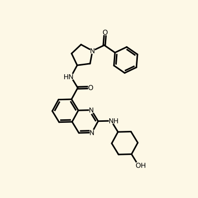 O=C(NC1CCN(C(=O)c2ccccc2)C1)c1cccc2cnc(NC3CCC(O)CC3)nc12